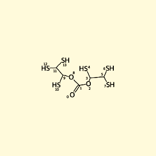 O=C(OC(S)C(S)S)OC(S)C(S)S